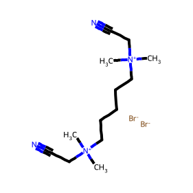 C[N+](C)(CC#N)CCCCC[N+](C)(C)CC#N.[Br-].[Br-]